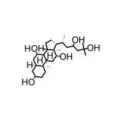 C[C@H](CC(O)CC(C)(C)O)[C@H]1CC[C@H]2[C@@H]3[C@H](O)C[C@@H]4C[C@H](O)CC[C@]4(C)[C@H]3C[C@H](O)[C@]12C